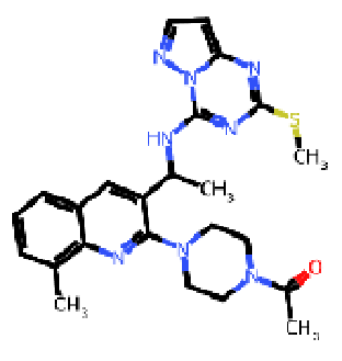 CSc1nc(NC(C)c2cc3cccc(C)c3nc2N2CCN(C(C)=O)CC2)n2nccc2n1